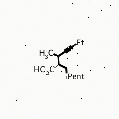 CCC#CC(C)[C@H](CC(C)CCC)C(=O)O